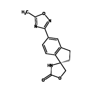 Cc1nc(-c2ccc3c(c2)CC[C@@]32COC(=O)N2)no1